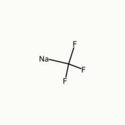 F[C](F)(F)[Na]